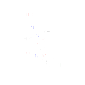 C[C@@H]1CN(CCO)C[C@H](C)N1C(=O)OC1([C@H]2COC[C@@H](CC3CC3)N2S(=O)(=O)c2ccc(Cl)cc2)CC1